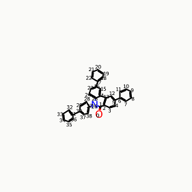 O=c1c2ccc(-c3ccccc3)cc2c2cc(-c3ccccc3)ccc2n1-c1ccc(-c2ccccc2)cc1